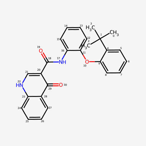 CC(C)(C)c1ccccc1Oc1ccccc1NC(=O)c1c[nH]c2ccccc2c1=O